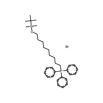 CC(C)(C)[Si](C)(C)OCCCCCCCCC[P+](c1ccccc1)(c1ccccc1)c1ccccc1.[Br-]